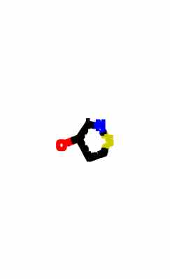 O=c1[c]nscc1